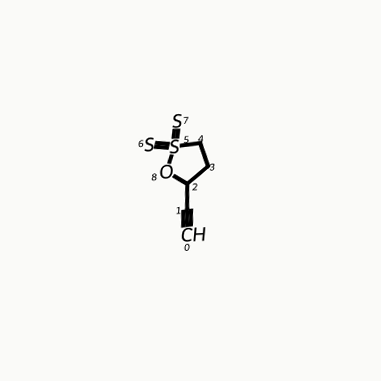 C#CC1CCS(=S)(=S)O1